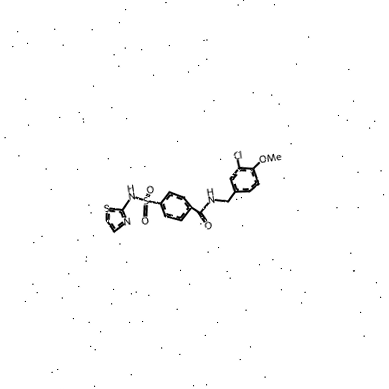 COc1ccc(CNC(=O)c2ccc(S(=O)(=O)Nc3nccs3)cc2)cc1Cl